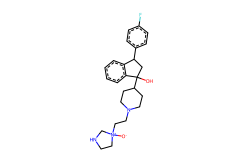 [O-][N+]1(CCN2CCC(C3(O)CC(c4ccc(F)cc4)c4ccccc43)CC2)CCNC1